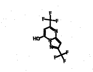 Oc1cc(C(F)(F)F)nc2cc(C(F)(F)F)nn12